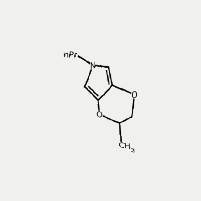 CCCn1cc2c(c1)OC(C)CO2